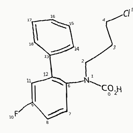 O=C(O)N(CCCCl)c1ccc(F)cc1-c1ccccc1